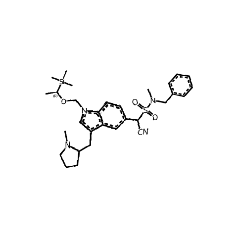 C[C@H](OCn1cc(CC2CCCN2C)c2cc(C(C#N)S(=O)(=O)N(C)Cc3ccccc3)ccc21)[Si](C)(C)C